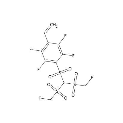 C=Cc1c(F)c(F)c(S(=O)(=O)C(S(=O)(=O)CF)S(=O)(=O)CF)c(F)c1F